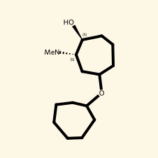 CN[C@H]1CC(OC2CCCCCC2)CCC[C@@H]1O